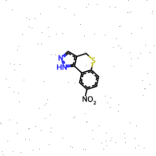 O=[N+]([O-])c1ccc2c(c1)-c1[nH]ncc1CS2